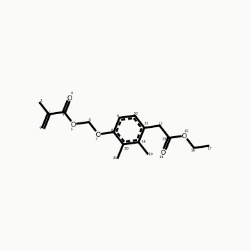 C=C(C)C(=O)OCOc1ccc(CC(=O)OCC)c(C)c1C